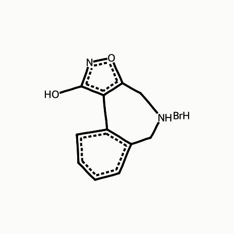 Br.Oc1noc2c1-c1ccccc1CNC2